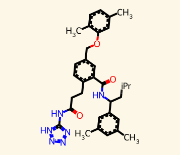 Cc1cc(C)cc(C(CC(C)C)NC(=O)c2cc(COc3cc(C)ccc3C)ccc2CCC(=O)Nc2nnn[nH]2)c1